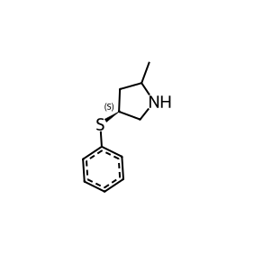 CC1C[C@H](Sc2ccccc2)CN1